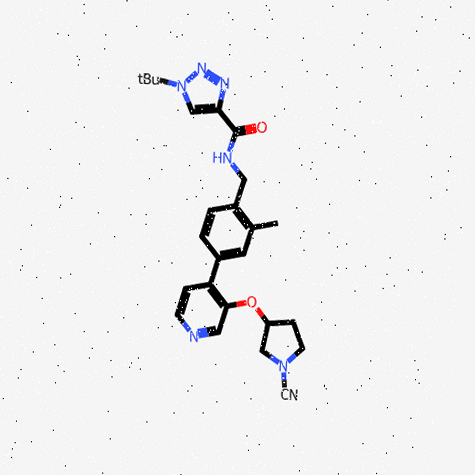 Cc1cc(-c2ccncc2OC2CCN(C#N)C2)ccc1CNC(=O)c1cn(C(C)(C)C)nn1